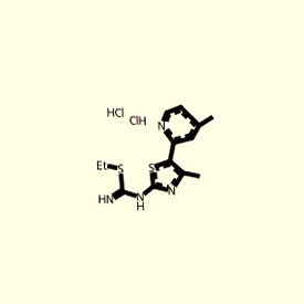 CCSC(=N)Nc1nc(C)c(-c2cc(C)ccn2)s1.Cl.Cl